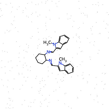 Cn1c(/C=N/C2CCCCC2/N=C/c2cc3ccccc3n2C)cc2ccccc21